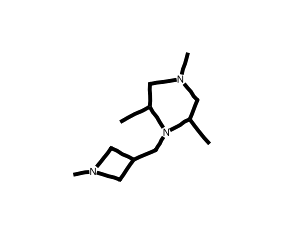 CC1CN(C)CC(C)N1CC1CN(C)C1